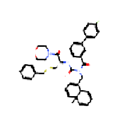 CC12C=CC=CC1C(CN(C(=O)N[C@@H](CSCc1ccccc1)C(=O)N1CCOCC1)C(=O)c1cccc(-c3ccc(F)cc3)c1)=CC=C2